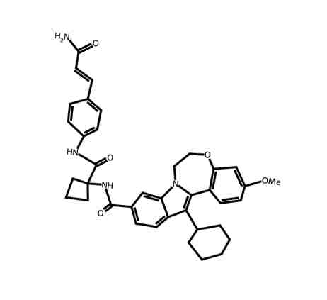 COc1ccc2c(c1)OCCn1c-2c(C2CCCCC2)c2ccc(C(=O)NC3(C(=O)Nc4ccc(C=CC(N)=O)cc4)CCC3)cc21